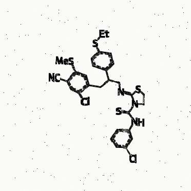 CCSc1ccc(C(C/N=C2\SCCN2C(=S)Nc2cccc(Cl)c2)Cc2cc(SC)c(C#N)cc2Cl)cc1